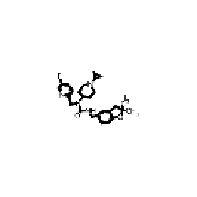 CC1(C)Cc2cc(CNC(=O)N(Cc3ccc(F)cn3)C3CCN(C4CC4)CC3)ccc2O1